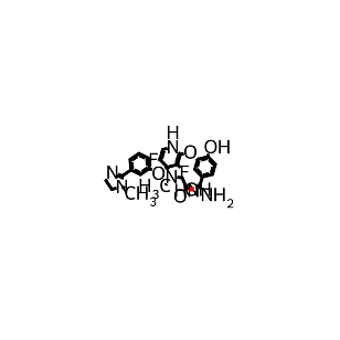 CN1CCN=C1c1cccc(OC2(N(C)CC(=O)O)C(F)=CNC(Oc3cc(C(=N)N)ccc3O)=C2F)c1